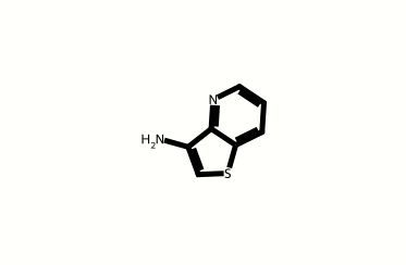 Nc1csc2cccnc12